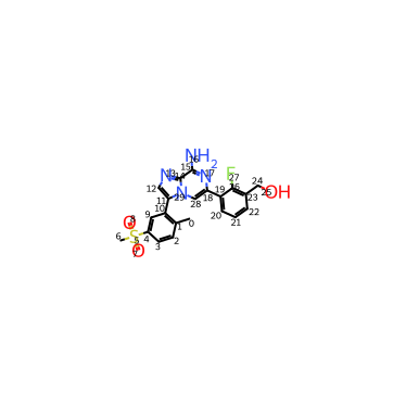 Cc1ccc(S(C)(=O)=O)cc1-c1cnc2c(N)nc(-c3cccc(CO)c3F)cn12